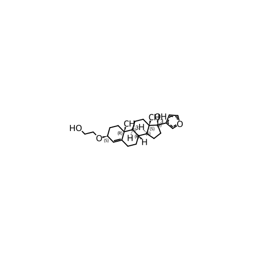 C[C@]12CC[C@H](OCCO)C=C1CC[C@@H]1[C@@H]2CC[C@@]2(C)[C@H]1CC[C@@]2(O)c1ccoc1